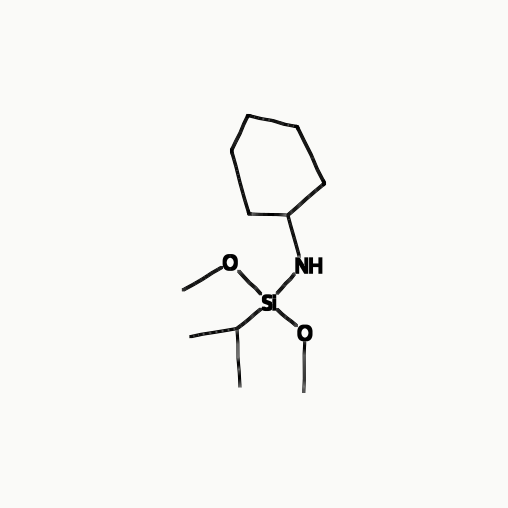 CO[Si](NC1CCCCC1)(OC)C(C)C